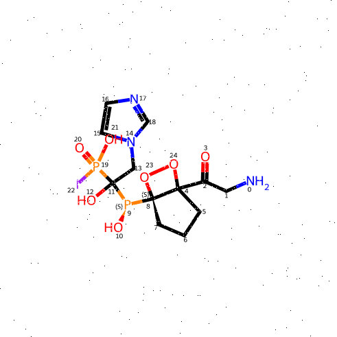 NCC(=O)C12CCC[C@@]1([P@@](O)C(O)(Cn1ccnc1)P(=O)(O)I)OO2